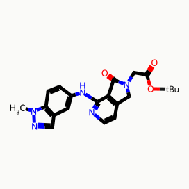 Cn1ncc2cc(Nc3nccc4c3C(=O)N(CC(=O)OC(C)(C)C)C4)ccc21